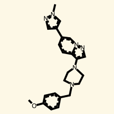 COc1ccc(CN2CCN(c3cnn4cc(-c5cnn(C)c5)ccc34)CC2)cc1